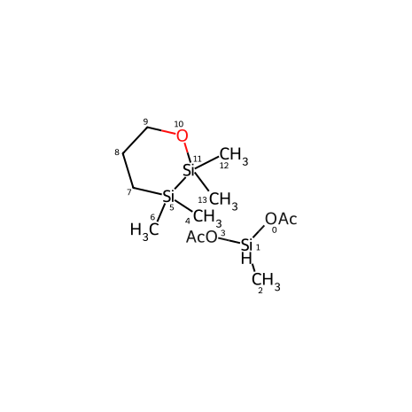 CC(=O)O[SiH](C)OC(C)=O.C[Si]1(C)CCCO[Si]1(C)C